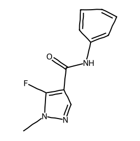 Cn1ncc(C(=O)Nc2ccccc2)c1F